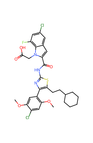 COc1cc(-c2nc(NC(=O)c3cc4cc(Cl)cc(F)c4n3CC(=O)O)sc2CCC2CCCCC2)c(OC)cc1Cl